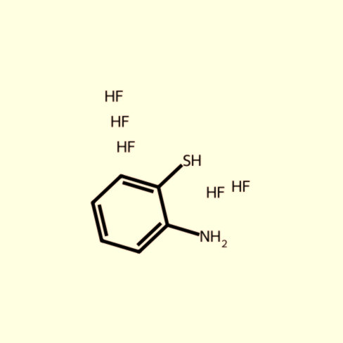 F.F.F.F.F.Nc1ccccc1S